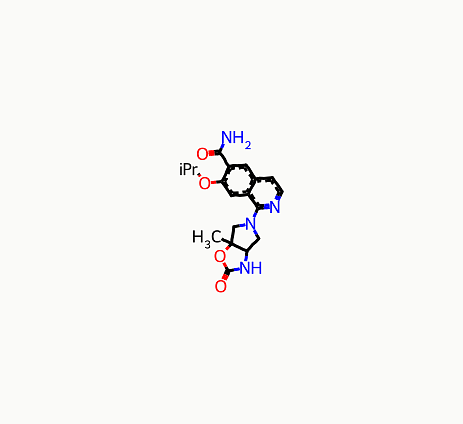 CC(C)Oc1cc2c(N3CC4NC(=O)OC4(C)C3)nccc2cc1C(N)=O